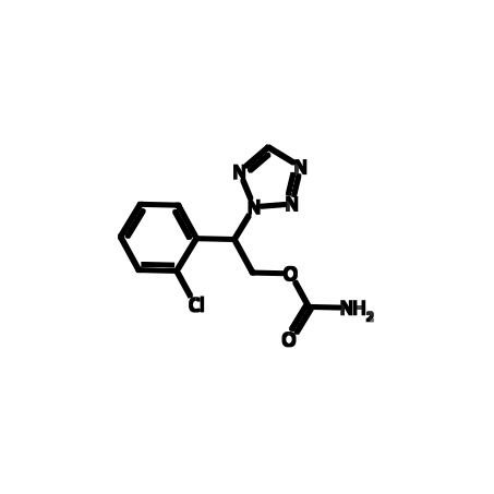 NC(=O)OCC(c1ccccc1Cl)n1ncnn1